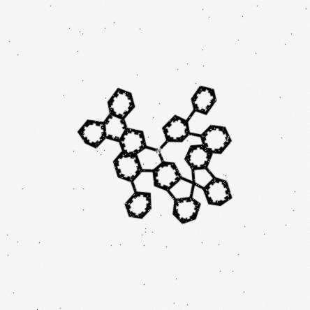 c1ccc(-c2ccc(N(c3ccc4c5ccccc5c5ccccc5c4c3)c3cc4c(cc3-c3ccccc3-c3ccccc3)-c3ccccc3C43c4ccccc4-c4ccccc43)cc2-c2ccccc2)cc1